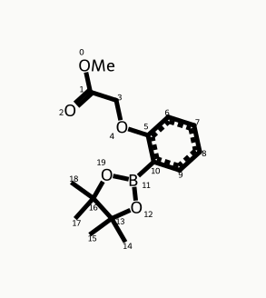 COC(=O)COc1ccccc1B1OC(C)(C)C(C)(C)O1